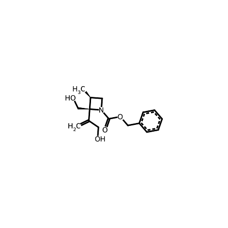 C=C(CO)[C@]1(CO)[C@@H](C)CN1C(=O)OCc1ccccc1